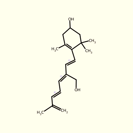 C=C(C)/C=C/C=C(/C=C/C1=C(C)CC(O)CC1(C)C)CO